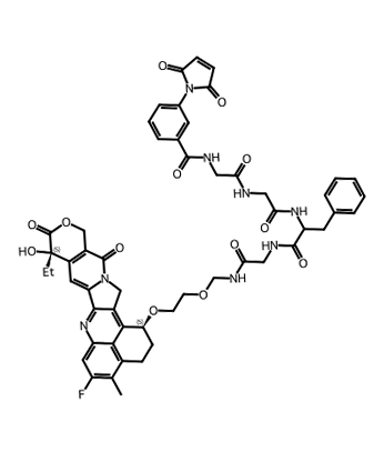 CC[C@@]1(O)C(=O)OCc2c1cc1n(c2=O)Cc2c-1nc1cc(F)c(C)c3c1c2[C@@H](OCCOCNC(=O)CNC(=O)C(Cc1ccccc1)NC(=O)CNC(=O)CNC(=O)c1cccc(N2C(=O)C=CC2=O)c1)CC3